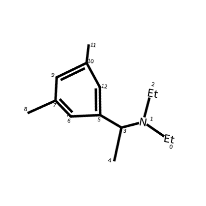 CCN(CC)C(C)c1[c]c(C)cc(C)c1